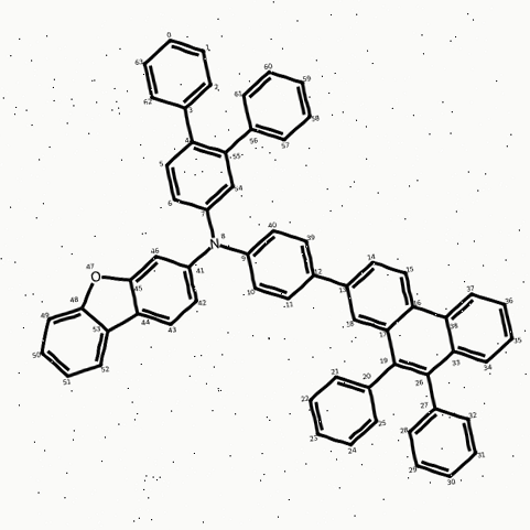 c1ccc(-c2ccc(N(c3ccc(-c4ccc5c(c4)c(-c4ccccc4)c(-c4ccccc4)c4ccccc45)cc3)c3ccc4c(c3)oc3ccccc34)cc2-c2ccccc2)cc1